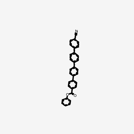 N#Cc1ccc(-c2ccc(-c3ccc(-c4ccc(C(=O)Oc5ccccc5)cc4)cc3)cc2)cc1